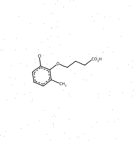 Cc1cccc(Cl)c1OCCCC(=O)O